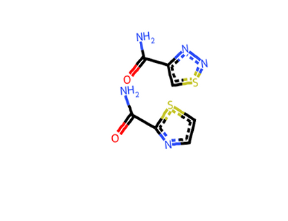 NC(=O)c1csnn1.NC(=O)c1nccs1